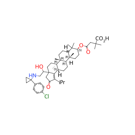 CC(C)C1=C2[C@H]3CC[C@@H]4[C@@]5(C)CC[C@H](OC(=O)CC(C)(C)C(=O)O)C(C)(C)[C@@H]5CC[C@@]4(C)[C@]3(C)CCC2(C(O)CNC2(c3ccc(Cl)cc3)CC2)CC1=O